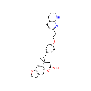 O=C(O)CC1(c2ccc3c(c2)OCC3)CC1c1ccc(OCCc2ccc3c(n2)NCCC3)cc1